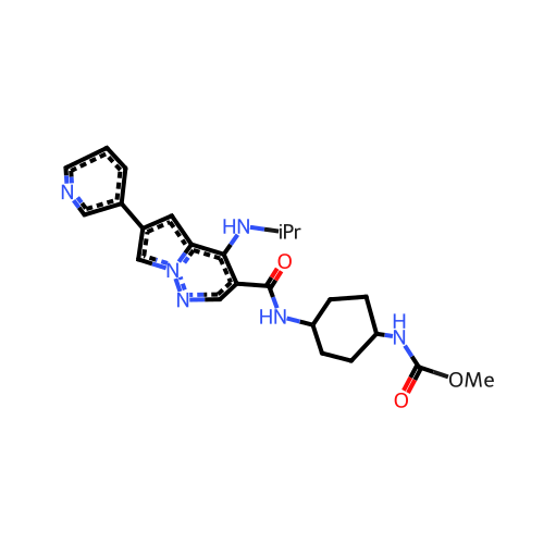 COC(=O)NC1CCC(NC(=O)c2cnn3cc(-c4cccnc4)cc3c2NC(C)C)CC1